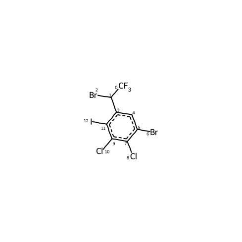 FC(F)(F)C(Br)c1cc(Br)c(Cl)c(Cl)c1I